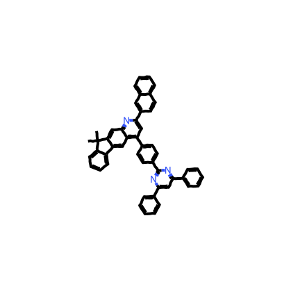 CC1(C)c2ccccc2-c2cc3c(-c4ccc(-c5nc(-c6ccccc6)cc(-c6ccccc6)n5)cc4)cc(-c4ccc5ccccc5c4)nc3cc21